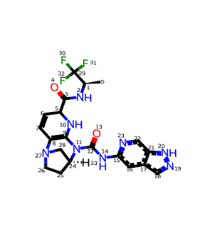 C[C@@H](NC(=O)C1C=CC2=C(N1)N(C(=O)Nc1cc3cn[nH]c3cn1)[C@H]1CCN2C1)C(F)(F)F